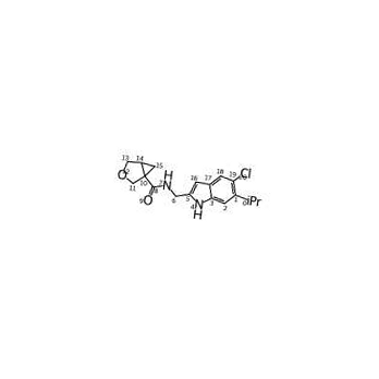 CC(C)c1cc2[nH]c(CNC(=O)C34COCC3C4)cc2cc1Cl